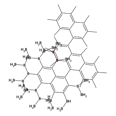 BBB(B)B(B(B)B)c1c(B(B(B)B)B(B)B)c(B(BB)B(B)B)c(B(B)B(B)B)c2c(-c3c4c(C)c(C)c(C)c(C)c4c(C)c4c(-c5c(C)c(C)c(C)c6c(C)c(C)c(C)c(C)c56)c(C)c(C)c(C)c34)c(B(B)B)c(BB)c(B)c12